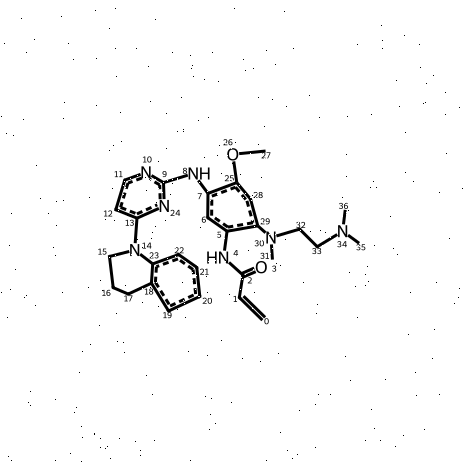 C=CC(=O)Nc1cc(Nc2nccc(N3CCCc4ccccc43)n2)c(OC)cc1N(C)CCN(C)C